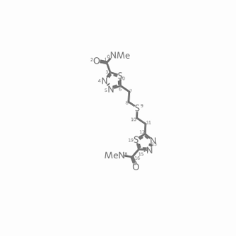 CNC(=O)c1nnc(CCSCCc2nnc(C(=O)NC)s2)s1